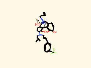 C=CCN1CC[C@]23c4c5ccc(OC)c4OC2C(N(C/C=C/c2cccc(C(F)(F)F)c2)CC(C)C)CC[C@@]3(O)[C@H]1C5